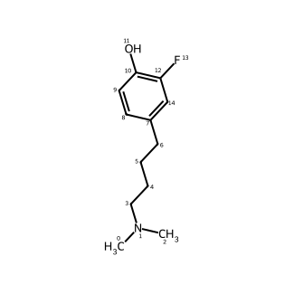 CN(C)CCCCc1ccc(O)c(F)c1